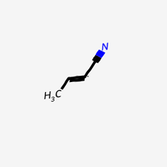 C/C=[C]/C#N